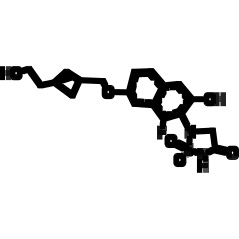 O=C1CN(c2c(O)cc3ccc(OCC45CC(CCO)(C4)C5)cc3c2F)S(=O)(=O)N1